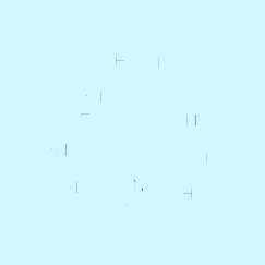 [2H]c1cc2c(c([2H])c1[2H])c1c([2H])c([2H])c([2H])c3c1c1c2c([2H])c([2H])c([2H])c1n3[2H]